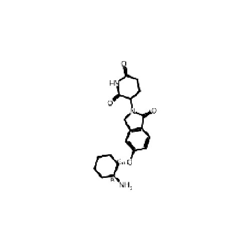 N[C@H]1CCCC[C@@H]1Oc1ccc2c(c1)CN(C1CCC(=O)NC1=O)C2=O